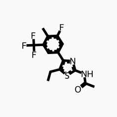 CCc1sc(NC(C)=O)nc1-c1cc(F)c(C)c(C(F)(F)F)c1